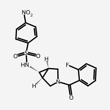 O=C(c1ccccc1F)N1C[C@@H]2[C@H](C1)[C@H]2NS(=O)(=O)c1ccc([N+](=O)[O-])cc1